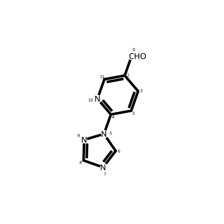 O=Cc1ccc(-n2cncn2)nc1